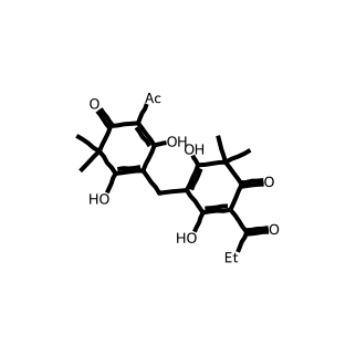 CCC(=O)C1=C(O)C(CC2=C(O)C(C)(C)C(=O)C(C(C)=O)=C2O)=C(O)C(C)(C)C1=O